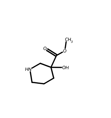 COC(=O)C1(O)CCCNC1